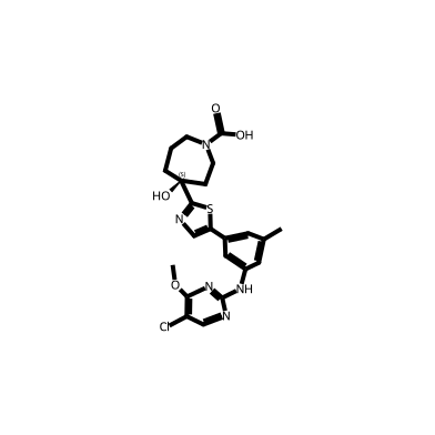 COc1nc(Nc2cc(C)cc(-c3cnc([C@]4(O)CCCN(C(=O)O)CC4)s3)c2)ncc1Cl